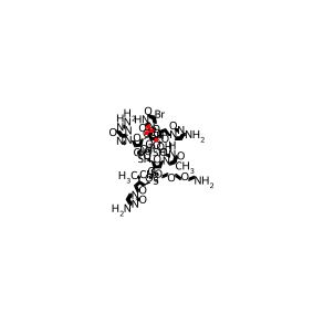 Cc1cn([C@H]2C[C@@H](OP(=S)(OCCOCCOCCN)OC[C@H]3O[C@@H](n4ccc(N)nc4=O)C[C@H]3C(C)C)[C@@H](COP(=O)(S)O[C@@H]3C[C@H](n4cnc5c(=O)[nH]c(N)nc54)O[C@@H]3COP(=S)(S)O[C@@H]3C[C@H](n4ccc(N)nc4=O)O[C@@H]3COP(=O)(S)O[C@@H]3C[C@H](n4cc(Br)c(=O)[nH]c4=O)O[C@@H]3CO)O2)c(=O)[nH]c1=O